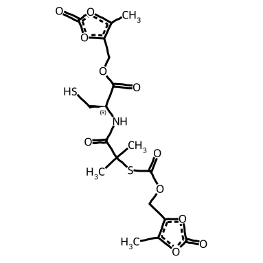 Cc1oc(=O)oc1COC(=O)SC(C)(C)C(=O)N[C@@H](CS)C(=O)OCc1oc(=O)oc1C